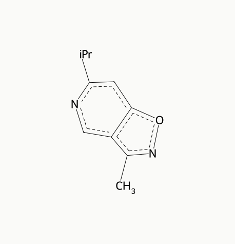 Cc1noc2cc(C(C)C)ncc12